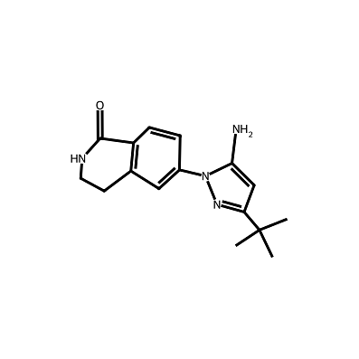 CC(C)(C)c1cc(N)n(-c2ccc3c(c2)CCNC3=O)n1